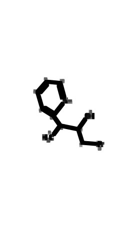 CC(C)CC(O)C(C)c1ccccn1